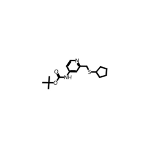 CC(C)(C)OC(=O)Nc1ccnc(CSC2CCCC2)c1